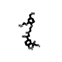 CCOc1cc(CO)ccc1OCCNCC(O)c1ccc(C)c(S(N)(=O)=O)c1